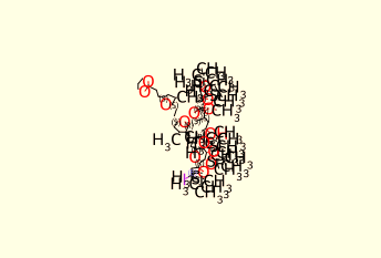 C=C1C(C)C[C@H](CC[C@@H]2O[C@@H](CCC3OCCCO3)CC2C)O[C@@H]1C[C@@H]1O[C@H](C[C@@H](CO[Si](C)(C)C(C)(C)C)O[Si](C)(C)C(C)(C)C)[C@@H](OC)[C@H]1CC(O)C[C@H]1CC[C@@H]2O[C@H](C(/C=C/I)O[Si](C)(C)C(C)(C)C)C(O[Si](C)(C)C(C)(C)C)C(O[Si](C)(C)C(C)(C)C)C2O1